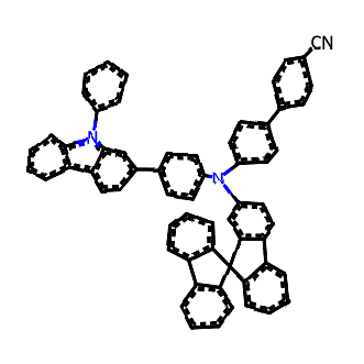 N#Cc1ccc(-c2ccc(N(c3ccc(-c4ccc5c6ccccc6n(-c6ccccc6)c5c4)cc3)c3ccc4c(c3)C3(c5ccccc5-c5ccccc53)c3ccccc3-4)cc2)cc1